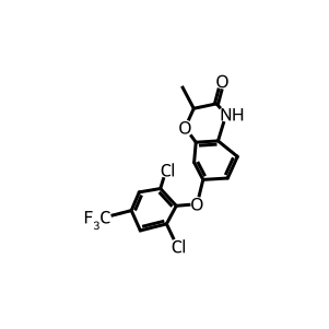 CC1Oc2cc(Oc3c(Cl)cc(C(F)(F)F)cc3Cl)ccc2NC1=O